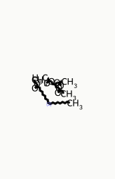 CCC(=O)OCC(COC(=O)CC)OC(=O)CC.CCCCCCCC/C=C\CCCCCCCC(=O)OCC